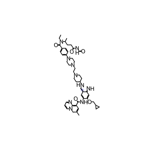 CCN(C(=O)c1ccc(N2CCN(CCN3CCC(N/C=C4/C=C(NC(=O)C5=C6N=CC=CN6CC(C)=C5)C(OCC5CC5)=CC4=N)CC3)CC2)cc1)C(C)CCC(=O)NC=O